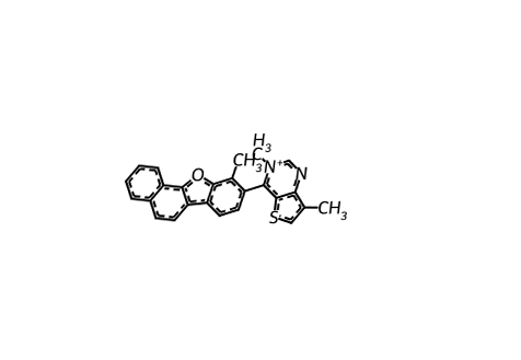 Cc1csc2c(-c3ccc4c(oc5c6ccccc6ccc45)c3C)[n+](C)cnc12